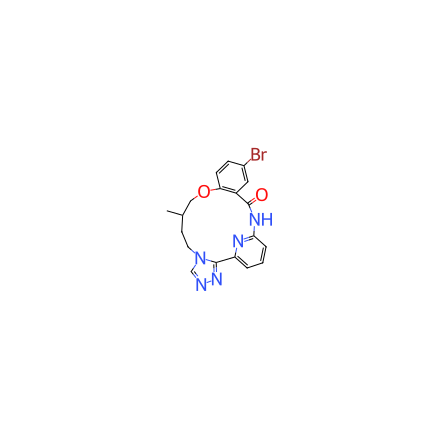 CC1CCn2cnnc2-c2cccc(n2)NC(=O)c2cc(Br)ccc2OC1